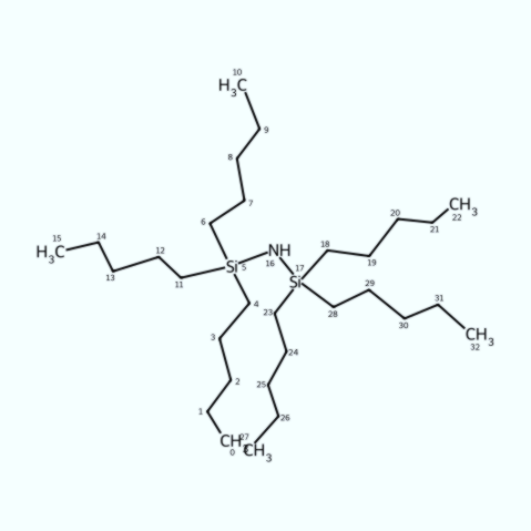 CCCCC[Si](CCCCC)(CCCCC)N[Si](CCCCC)(CCCCC)CCCCC